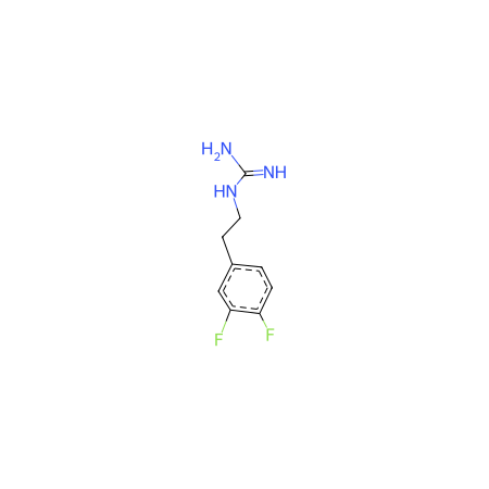 N=C(N)NCCc1ccc(F)c(F)c1